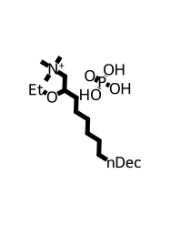 CCCCCCCCCCCCCCCCC(C[N+](C)(C)C)OCC.O=P(O)(O)O